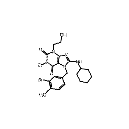 CCn1c(=O)c2c(nc(NC3CCCCC3)n2Cc2ccc(O)c(Br)c2)n(CCO)c1=O